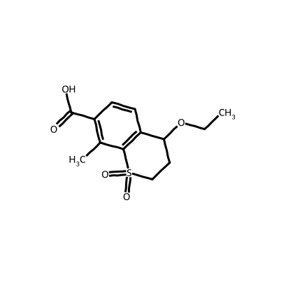 CCOC1CCS(=O)(=O)c2c1ccc(C(=O)O)c2C